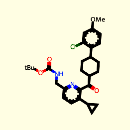 COc1ccc(C2CCC(C(=O)c3nc(CNC(=O)OC(C)(C)C)ccc3C3CC3)CC2)c(Cl)c1